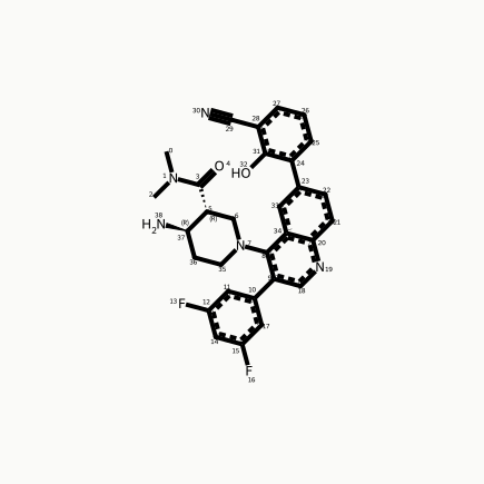 CN(C)C(=O)[C@@H]1CN(c2c(-c3cc(F)cc(F)c3)cnc3ccc(-c4cccc(C#N)c4O)cc23)CC[C@H]1N